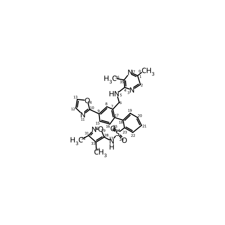 Cc1cnc(NCc2cc(-c3ncco3)ccc2-c2ccccc2S(=O)(=O)Nc2onc(C)c2C)c(C)n1